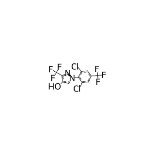 Oc1cn(-c2c(Cl)cc(C(F)(F)F)cc2Cl)nc1C(F)(F)F